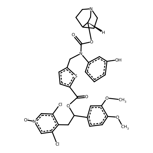 COc1ccc(C(Cc2c(Cl)c[n+]([O-])cc2Cl)OC(=O)c2ccc(CN(C(=O)O[C@H]3CN4CCC3CC4)c3cccc(O)c3)s2)cc1OC